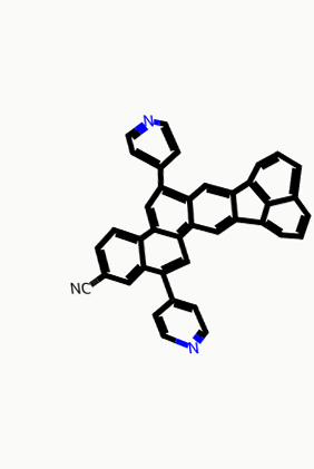 N#Cc1ccc2c(c1)c(-c1ccncc1)cc1c3cc4c(cc3c(-c3ccncc3)cc21)-c1cccc2cccc-4c12